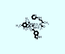 CC(CCNc1ccccn1)OC(=O)C(F)(F)F.Cc1cc(C)c(S(=O)(=O)NC(C)(NC(=O)c2ccc3[nH]ncc3c2)C(=O)O)c(C)c1